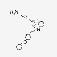 NCCCOCCCNc1nc(C=Cc2ccc(OCc3ccccc3)cc2)nc2ccccc12